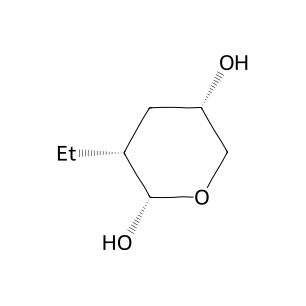 CC[C@@H]1C[C@H](O)CO[C@@H]1O